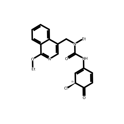 CCOc1ncc(CN(CC)C(=O)NC2=C[C@H](Cl)C(=O)C=C2)c2ccccc12